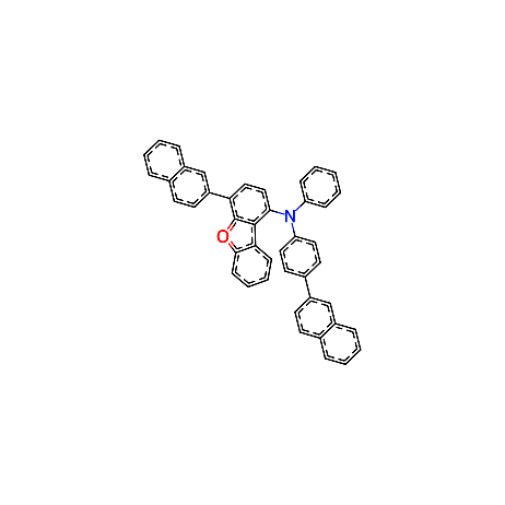 c1ccc(N(c2ccc(-c3ccc4ccccc4c3)cc2)c2ccc(-c3ccc4ccccc4c3)c3oc4ccccc4c23)cc1